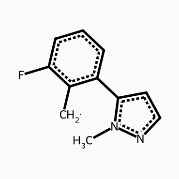 [CH2]c1c(F)cccc1-c1ccnn1C